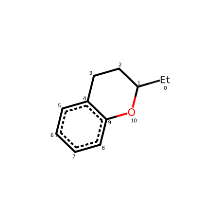 CCC1CCc2c[c]ccc2O1